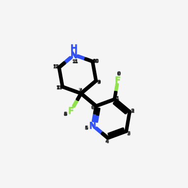 Fc1cccnc1C1(F)CCNCC1